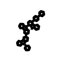 c1ccc(-c2ccc(-c3ccc(-n4c5ccccc5c5cc(-c6ccc7c(c6)c6ccccc6n7-c6ccccc6)ccc54)c4sc5ccccc5c34)cc2)cc1